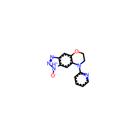 [O-][NH+]1N=Nc2cc3c(cc21)N(c1ccccn1)CCO3